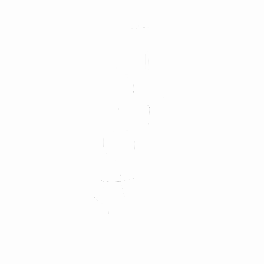 CCOC(=O)c1ccc(-c2c(C)c3ccc(C4(C)C=C(C)N=N4)cc3oc2=O)cc1